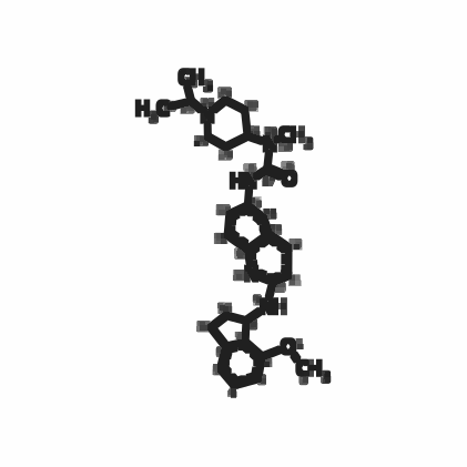 COc1cccc2c1C(Nc1ccc3cc(NC(=O)N(C)C4CCN(C(C)C)CC4)ccc3n1)CC2